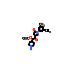 Cc1cc(C)cc(N2CC(C(=O)C(OC=O)C3CCNCC3)CC2=O)c1